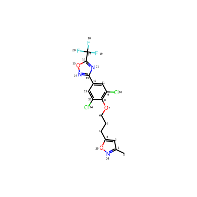 Cc1cc(CCCOc2c(Cl)cc(-c3noc(C(F)(F)F)n3)cc2Cl)on1